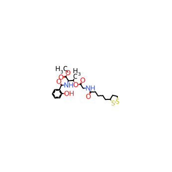 COC(=O)C(NC(=O)c1ccccc1O)C(C)OC(=O)CNC(=O)CCCCC1CCSS1